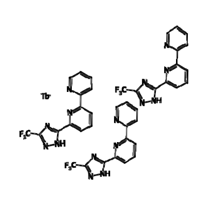 FC(F)(F)c1n[nH]c(-c2cccc(-c3ccccn3)n2)n1.FC(F)(F)c1n[nH]c(-c2cccc(-c3ccccn3)n2)n1.FC(F)(F)c1n[nH]c(-c2cccc(-c3ccccn3)n2)n1.[Tb]